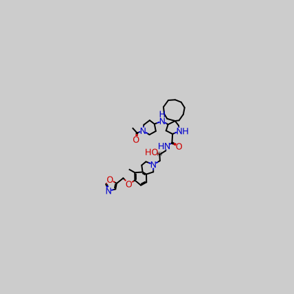 CC(=O)N1CCC(NC2CC(C(=O)NC[C@H](O)CN3CCc4c(ccc(OCc5cnco5)c4C)C3)NCC23CCCCCCCCC3)CC1